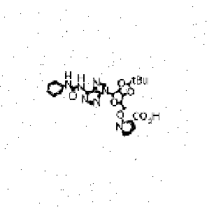 CC(C)(C)C1OC2C(COc3ncccc3C(=O)O)OC(n3cnc4c(NC(=O)Nc5ccccc5)ncnc43)C2O1